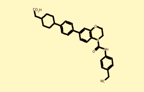 N#CCc1ccc(NC(=O)N2CCOc3cc(-c4ccc(C5CCC(CC(=O)O)CC5)cc4)ccc32)cc1